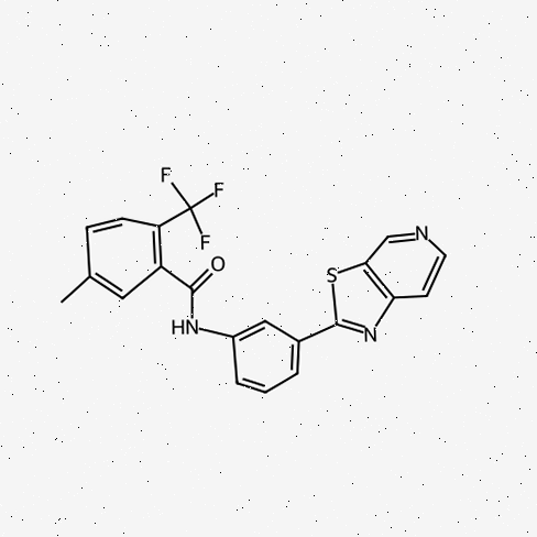 Cc1ccc(C(F)(F)F)c(C(=O)Nc2cccc(-c3nc4ccncc4s3)c2)c1